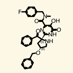 CN(Cc1ccc(F)cc1)C(=O)c1nc([C@]2(C(=O)c3ccccc3)C[C@@H](OCc3ccccc3)CN2)[nH]c(=O)c1O